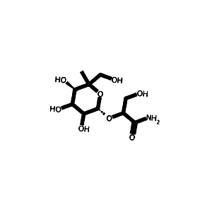 CC1(CO)O[C@H](OC(CO)C(N)=O)C(O)C(O)[C@H]1O